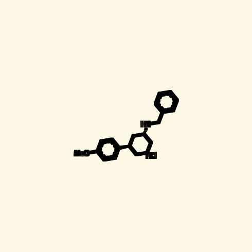 COc1ccc([C@@H]2CCC[C@@H](NCc3ccccc3)C2)cc1.Cl